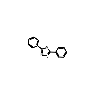 c1ccc(-c2nnc(-c3ccccc3)s2)cc1